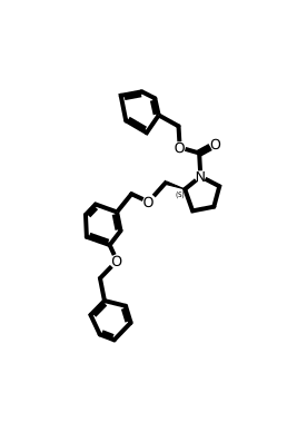 O=C(OCc1ccccc1)N1CCC[C@H]1COCc1cccc(OCc2ccccc2)c1